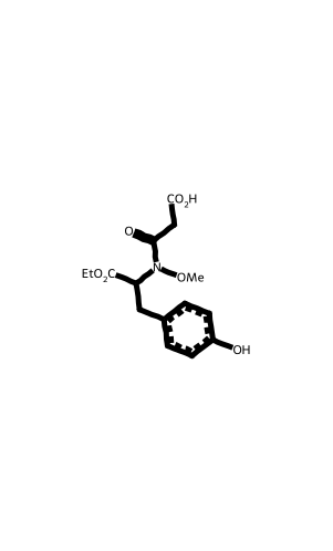 CCOC(=O)C(Cc1ccc(O)cc1)N(OC)C(=O)CC(=O)O